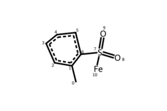 Cc1ccccc1[S](=O)(=O)[Fe]